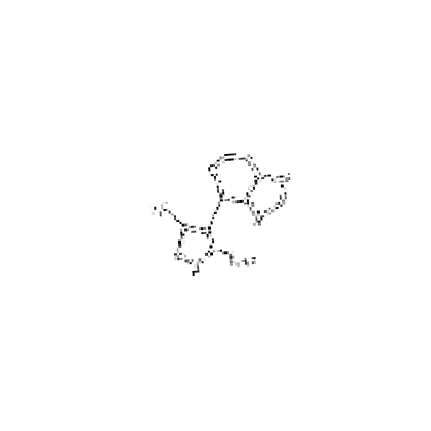 Cc1n[nH]c(C)c1-c1cccc2scnc12.O